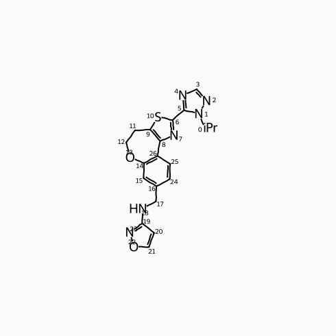 CC(C)n1ncnc1-c1nc2c(s1)CCOc1cc(CNc3ccon3)ccc1-2